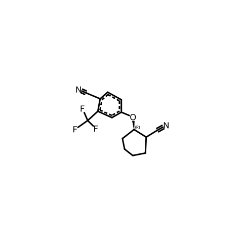 N#Cc1ccc(O[C@@H]2CCCCC2C#N)cc1C(F)(F)F